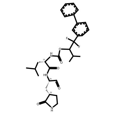 CC(C)C[C@H](NC(=O)OC(C(C)C)C(F)(F)c1cccc(-c2ccccc2)c1)C(=O)N[C@H](C=O)C[C@@H]1CCNC1=O